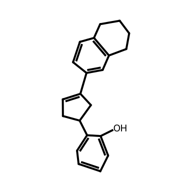 Oc1ccccc1C1CC=C(c2ccc3c(c2)CCCC3)C1